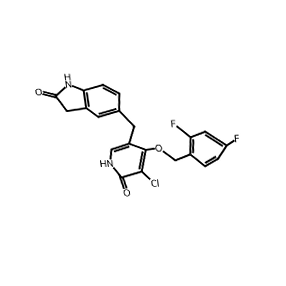 O=C1Cc2cc(Cc3c[nH]c(=O)c(Cl)c3OCc3ccc(F)cc3F)ccc2N1